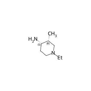 CCN1CC[C@H](N)[C@H](C)C1